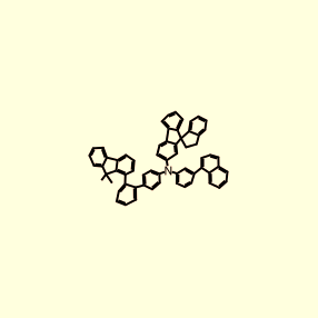 CC1(C)c2ccccc2-c2cccc(-c3ccccc3-c3ccc(N(c4cccc(-c5cccc6ccccc56)c4)c4ccc5c(c4)C4(CCc6ccccc64)c4ccccc4-5)cc3)c21